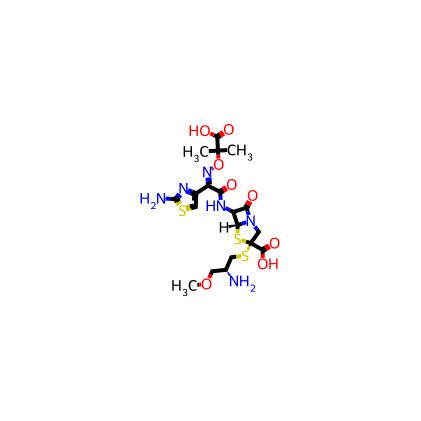 COC[C@@H](N)CS[C@]1(C(=O)O)CN2C(=O)C(NC(=O)/C(=N\OC(C)(C)C(=O)O)c3csc(N)n3)[C@H]2S1